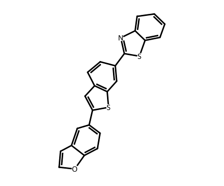 c1ccc2sc(-c3ccc4cc(-c5ccc6occc6c5)sc4c3)nc2c1